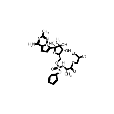 CCC(CC)COC(=O)[C@H](C)NP(=O)(OC[C@H]1O[C@@](C#N)(c2ccc3c(N)nc(C)nn23)[C@](C)(O)[C@@H]1O)Oc1ccccc1